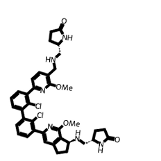 COc1nc(-c2cccc(-c3cccc(-c4cc5c(c(OC)n4)[C@@H](NC[C@@H]4CCC(=O)N4)CC5)c3Cl)c2Cl)ccc1CNC[C@@H]1CCC(=O)N1